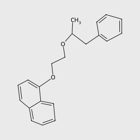 CC(Cc1ccccc1)OCCOc1cccc2ccccc12